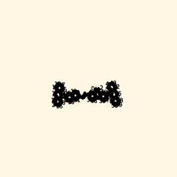 CC1(C)c2cc(/C=C/c3ccc4cc(N5c6ccccc6Cc6ccccc65)ccc4c3)ccc2-c2ccc(N3C4=C(C=CCC4)Cc4ccccc43)cc21